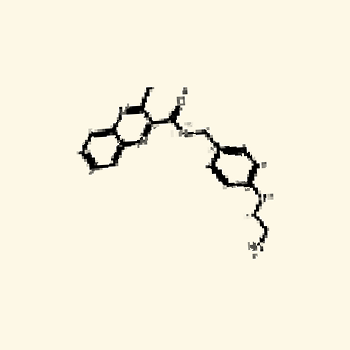 Cc1nc2ccccc2nc1C(=O)NCc1ccc(OCCO)cc1